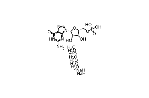 Nc1nc2c(ncn2[C@@H]2O[C@H](COP(=O)(O)O)[C@@H](O)[C@H]2O)c(=O)[nH]1.O.O.O.O.O.O.O.[NaH].[NaH]